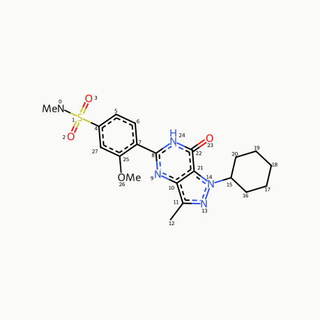 CNS(=O)(=O)c1ccc(-c2nc3c(C)nn(C4CCCCC4)c3c(=O)[nH]2)c(OC)c1